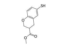 COC(=O)C1COc2ccc(S)cc2C1